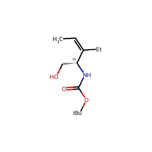 CC=C(CC)[C@@H](CO)NC(=O)OC(C)(C)C